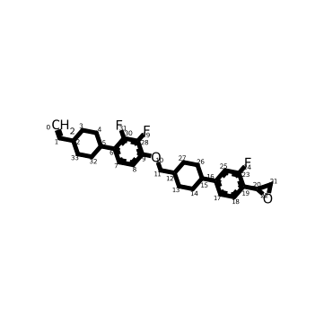 C=CC1CCC(c2ccc(OCC3CCC(c4ccc(C5CO5)c(F)c4)CC3)c(F)c2F)CC1